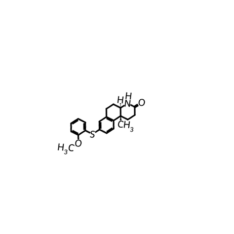 COc1ccccc1Sc1ccc2c(c1)CC[C@H]1NC(=O)CC[C@]21C